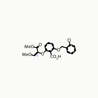 CO/C=C(/Oc1cccc(OCc2ccccc2Cl)c1C(=O)O)C(=O)OC